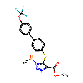 COC(=O)c1nnn(PC)c1Sc1ccc(-c2ccc(OC(F)(F)F)cc2)cc1